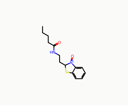 CCCCC(=O)NCCC1Sc2ccccc2[N+]1=O